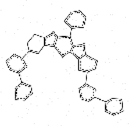 C1=C(c2cccc(-c3ccccc3)c2)CCc2oc3c(-c4ccccc4)c4oc5ccc(-c6cccc(-c7ccccc7)c6)cc5c4cc3c21